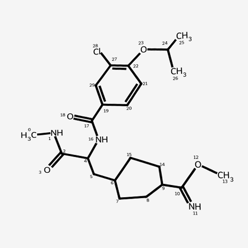 CNC(=O)C(CC1CCC(C(=N)OC)CC1)NC(=O)c1ccc(OC(C)C)c(Cl)c1